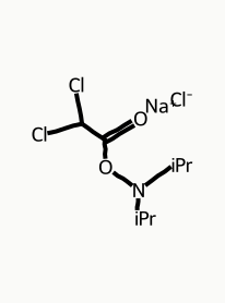 CC(C)N(OC(=O)C(Cl)Cl)C(C)C.[Cl-].[Na+]